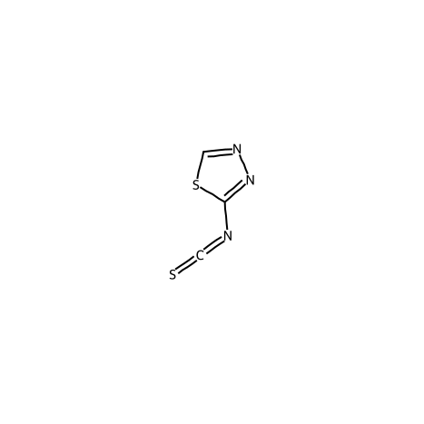 S=C=Nc1nncs1